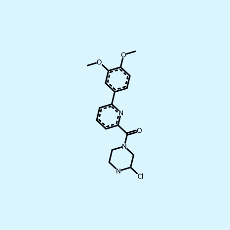 COc1ccc(-c2cccc(C(=O)N3CC[N]C(Cl)C3)n2)cc1OC